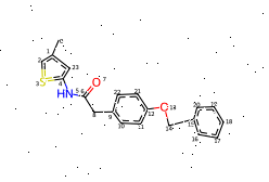 Cc1csc(NC(=O)Cc2ccc(OCc3ccccc3)cc2)c1